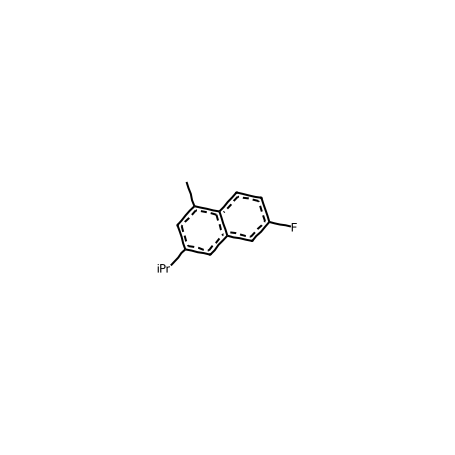 Cc1cc(C(C)C)cc2cc(F)ccc12